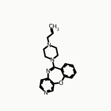 C=CCN1CCN(C2=Nc3ccncc3Oc3ccccc32)CC1